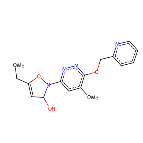 COCC1=CC(O)N(c2cc(OC)c(OCc3ccccn3)nn2)O1